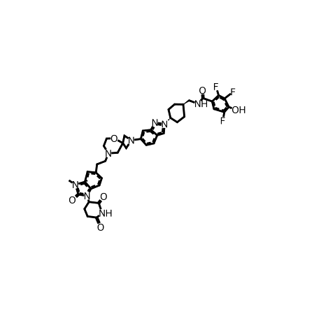 Cn1c(=O)n(C2CCC(=O)NC2=O)c2ccc(CCN3CCOC4(C3)CN(c3ccc5cn([C@H]6CC[C@H](CNC(=O)c7cc(F)c(O)c(F)c7F)CC6)nc5c3)C4)cc21